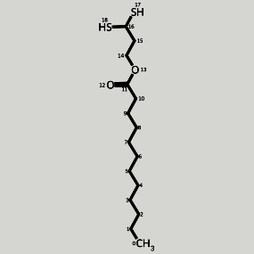 CCCCCCCCCCCC(=O)OCCC(S)S